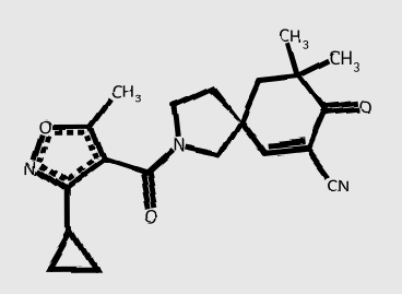 Cc1onc(C2CC2)c1C(=O)N1CC[C@@]2(C=C(C#N)C(=O)C(C)(C)C2)C1